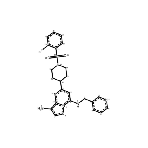 Bc1cnn2c(NCc3cccnc3)cc(C3CCN(S(=O)(=O)c4ccccc4F)CC3)nc12